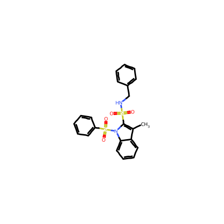 Cc1c(S(=O)(=O)NCc2ccccc2)n(S(=O)(=O)c2ccccc2)c2ccccc12